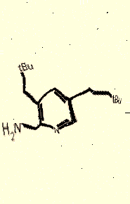 CC(C)(C)Cc1cnc(N)c(CC(C)(C)C)c1